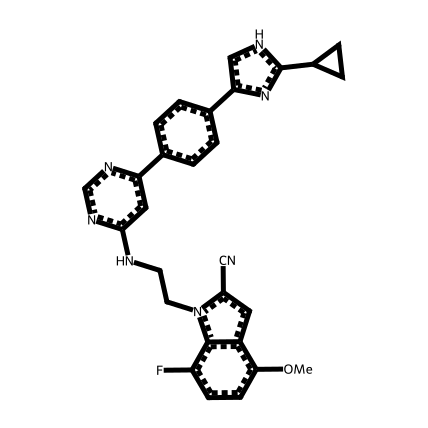 COc1ccc(F)c2c1cc(C#N)n2CCNc1cc(-c2ccc(-c3c[nH]c(C4CC4)n3)cc2)ncn1